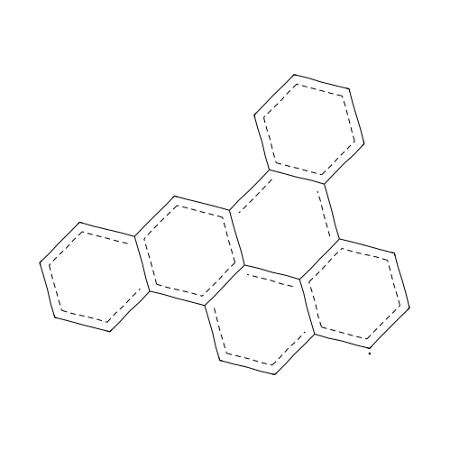 [c]1ccc2c3ccccc3c3cc4ccccc4c4ccc1c2c43